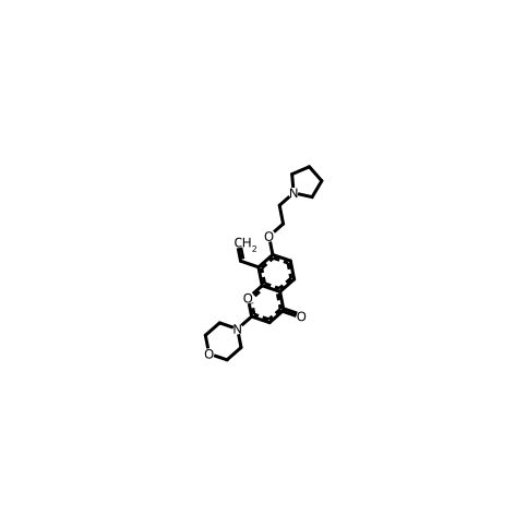 C=Cc1c(OCCN2CCCC2)ccc2c(=O)cc(N3CCOCC3)oc12